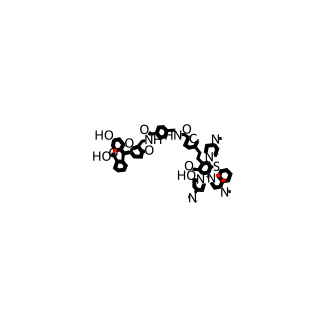 CN(C)c1cc[n+](-c2c(CCc3ccc(C(=O)NCc4ccc(C(=O)NCc5c6oc7cc(O)ccc7c(-c7ccccc7C(=O)O)c-6ccc5=O)cc4)cc3)c(C(=O)O)c(-[n+]3ccc(N(C)C)cc3)c(-[n+]3ccc(N(C)C)cc3)c2Sc2ccccc2)cc1